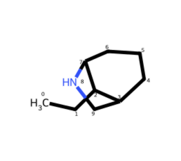 CCC1C2CCCC1NC2